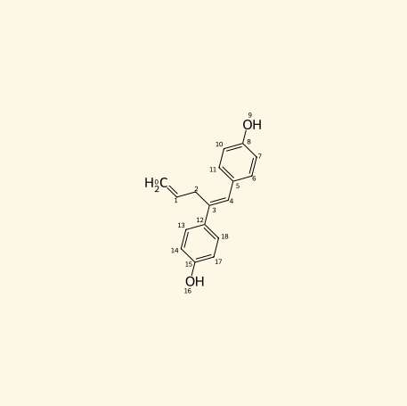 C=CC/C(=C\c1ccc(O)cc1)c1ccc(O)cc1